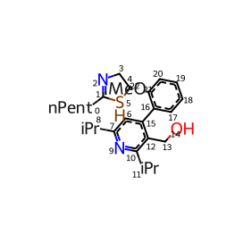 CCCCCC1=NCC[SH]1c1c(C(C)C)nc(C(C)C)c(CO)c1-c1ccccc1OC